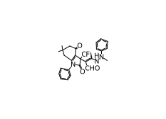 C/C(NN(C)c1ccccc1)=C(/C=O)C1(C(F)(F)F)C(=O)N(c2ccccc2)C2=C1C(=O)CC(C)(C)C2